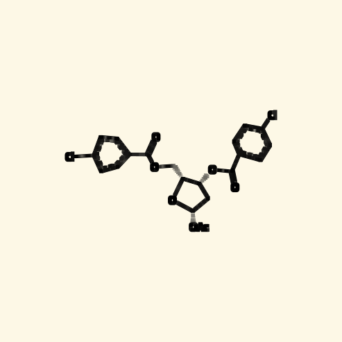 CC(=O)O[C@H]1C[C@@H](OC(=O)c2ccc(Cl)cc2)[C@@H](COC(=O)c2ccc(Cl)cc2)O1